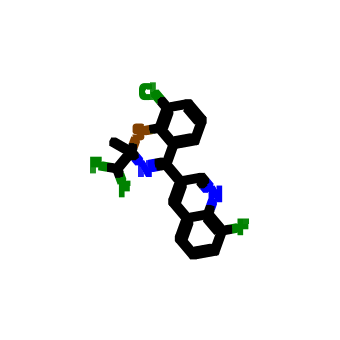 CC1(C(F)F)N=C(c2cnc3c(F)cccc3c2)c2cccc(Cl)c2S1